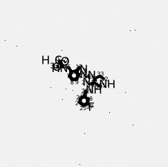 CS(=O)(=O)NCc1cccc2c1cnn2-c1nc2c(c(NCc3cccc(F)c3)n1)CNCC2